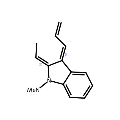 C=C/C=c1\c(=C/C)n(NC)c2ccccc12